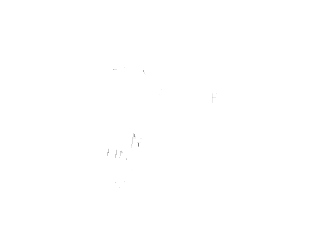 O=C(O)c1cc(F)cc(-c2n[nH]c(=O)c3ccccc23)c1